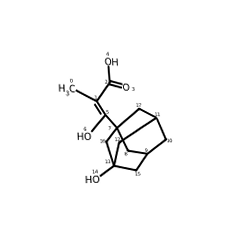 CC(C(=O)O)=C(O)C12CC3CC(CC(O)(C3)C1)C2